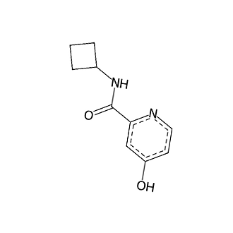 O=C(NC1CCC1)c1cc(O)ccn1